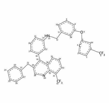 FC(F)(F)c1cccc(Oc2cccc(CNc3cccc(-c4c(Cc5ccccc5)cnc5c(C(F)(F)F)cccc45)c3)c2)c1